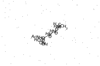 CC(=O)NC1C(OCCCCC(=O)NCCCNC(=O)c2ccc(NN=C(C)C)cc2)OC(CO)C(O)C1O